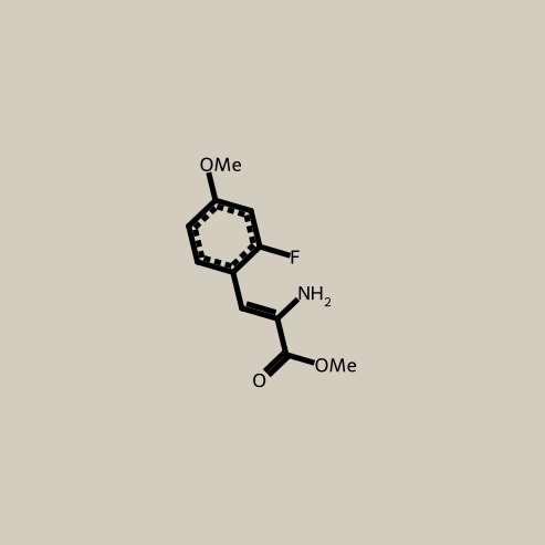 COC(=O)/C(N)=C/c1ccc(OC)cc1F